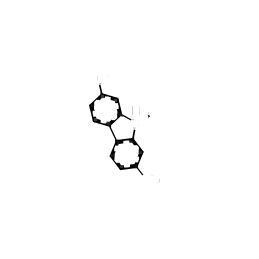 CC(C)(C)c1ccc2c(c1)[SH](C(F)(F)F)c1cc(C(C)(C)C)ccc1-2